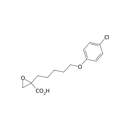 O=C(O)C1(CCCCCOc2ccc(Cl)cc2)CO1